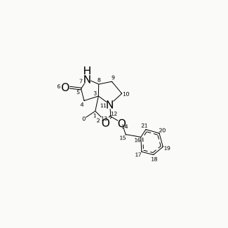 CC(C)C12CC(=O)NC1CCN2C(=O)OCc1ccccc1